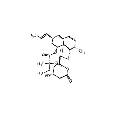 C/C=C/[C@H]1C=C2C=C[C@H](C)[C@H](CC[C@@H]3C[C@@H](O)CC(=O)O3)[C@H]2[C@@H](OC(=O)C(C)(C)CC)C1